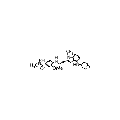 COc1cc([S+]([O-])N(C)C)ccc1NCC#Cc1cc2c(NC3CCOCC3)cccc2n1CC(F)(F)F